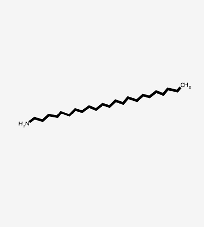 CCCCCCCCCCCCCCCCCCCCCCCN